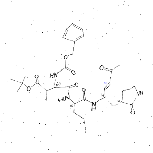 CCC[C@H](NC(=O)[C@@H](NC(=O)OCc1ccccc1)C(C)C(=O)OC(C)(C)C)C(=O)N[C@H](/C=C/C(C)=O)C[C@@H]1CCNC1=O